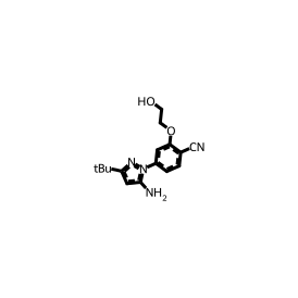 CC(C)(C)c1cc(N)n(-c2ccc(C#N)c(OCCO)c2)n1